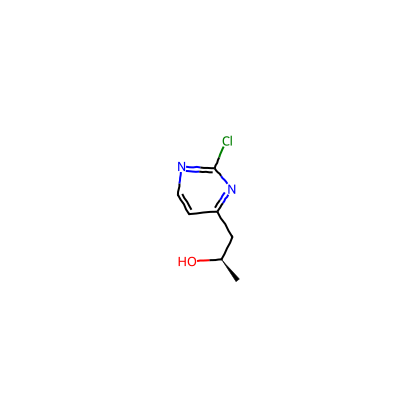 C[C@@H](O)Cc1ccnc(Cl)n1